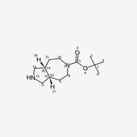 CC(C)(C)OC(=O)N1CC[C@@H]2CNC[C@@H]2CC1